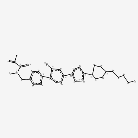 C=C(C)C(=O)N(C)Cc1ccc(-c2ccc(-c3ccc(C4CCC(CCCCC)CC4)cc3)cc2F)cc1